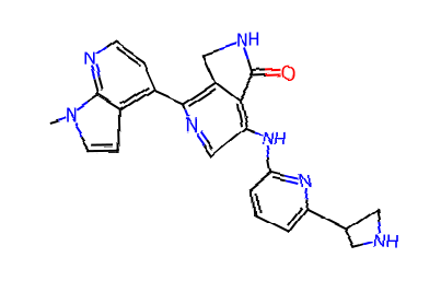 Cn1ccc2c(-c3ncc(Nc4cccc(C5CNC5)n4)c4c3CNC4=O)ccnc21